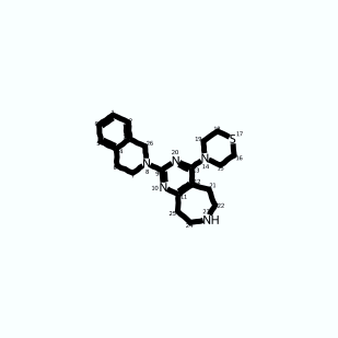 c1ccc2c(c1)CCN(c1nc3c(c(N4CCSCC4)n1)CCNCC3)C2